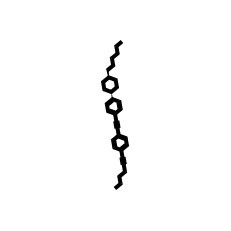 CCCCC#Cc1ccc(C#Cc2ccc([C@H]3CC[C@H](CCCCCC)CC3)cc2)cc1